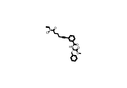 C=CN(Cl)C(=O)CCCC#Cc1cccc(C(=O)N[C@@H](Cc2ccccc2)C(=O)OC)c1